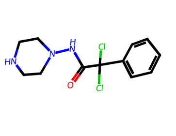 O=C(NN1CCNCC1)C(Cl)(Cl)c1ccccc1